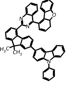 CC1(C)c2cc(-c3ccc4c(c3)c3ccccc3n4-c3ccccc3)ccc2-c2c(-c3nc(C4=C5c6ccccc6OC5CC=C4)c4ccccc4n3)cccc21